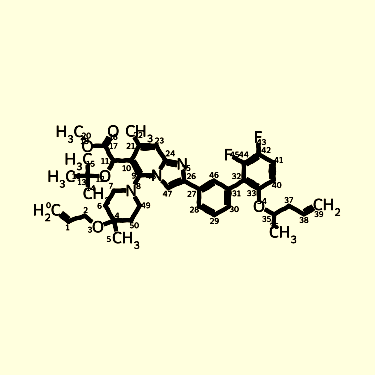 C=CCOC1(C)CCN(c2c(C(OC(C)(C)C)C(=O)OC)c(C)cc3nc(-c4cccc(-c5c(OC(C)CC=C)ccc(F)c5F)c4)cn23)CC1